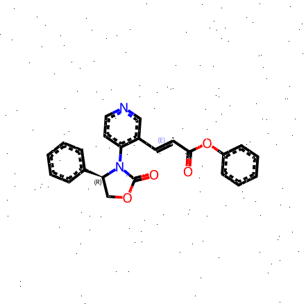 O=C(/[C]=C/c1cnccc1N1C(=O)OC[C@H]1c1ccccc1)Oc1ccccc1